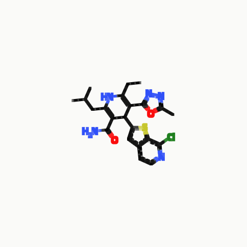 CCC1=C(c2nnc(C)o2)C(c2cc3ccnc(Cl)c3s2)C(C(N)=O)=C(CC(C)C)N1